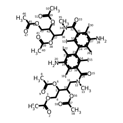 CC(=O)OCC(OC(C)=O)C(CN(C)C(=O)c1c(I)c(N)c(I)c(-c2c(I)c(N)c(I)c(C(=O)N(C)CC(OC(C)=O)C(COC(C)=O)OC(C)=O)c2I)c1I)OC(C)=O